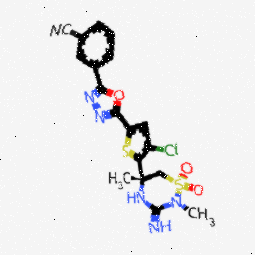 CN1C(=N)N[C@](C)(c2sc(-c3nnc(-c4cccc(C#N)c4)o3)cc2Cl)CS1(=O)=O